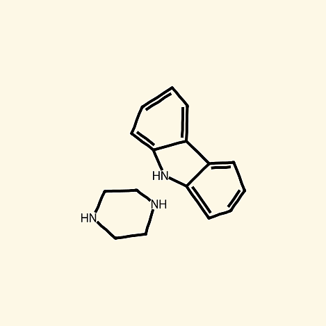 C1CNCCN1.c1ccc2c(c1)[nH]c1ccccc12